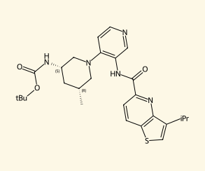 CC(C)c1csc2ccc(C(=O)Nc3cnccc3N3C[C@H](C)C[C@H](NC(=O)OC(C)(C)C)C3)nc12